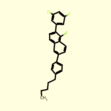 CCCCCc1ccc(-c2ccc3c(F)c(-c4cc(F)cc(F)c4)ccc3c2)cc1